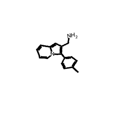 Cc1ccc(-c2c(CN)cc3ccccn23)cc1